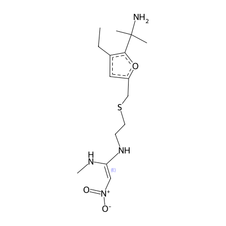 CCc1cc(CSCCN/C(=C/[N+](=O)[O-])NC)oc1C(C)(C)N